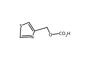 O=C(O)OCc1cscn1